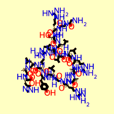 CC(C)C[C@H](NC(=O)CNC(=O)[C@H](CCCNC(=N)N)NC(=O)[C@H](C)NC(=O)[C@H](C)NC(=O)[C@H](CCCNC(=N)N)NC(=O)[C@H](CC(C)C)NC(=O)[C@@H](NC(=O)[C@H](CC(C)C)NC(=O)[C@H](CC(C)C)NC(=O)[C@H](CO)NC(=O)[C@H](CCCNC(=N)N)NC(=O)CNC(=O)CN)C(C)C)C(=O)N[C@@H](Cc1ccc(O)cc1)C(=O)N[C@@H](CCCNC(=N)N)C(=O)N[C@@H](CC(C)C)C(=O)N[C@@H](C)C(=O)N[C@@H](Cc1c[nH]cn1)C(=O)O